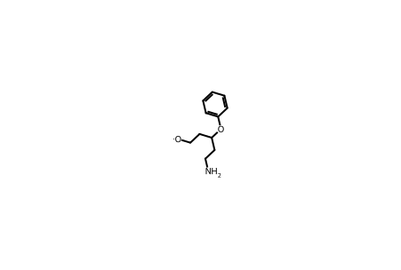 NCCC(CC[O])Oc1ccccc1